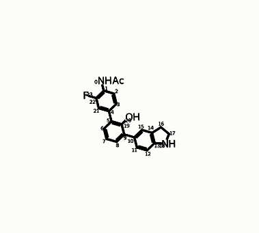 CC(=O)Nc1ccc(-c2cccc(-c3ccc4c(c3)CCN4)c2O)cc1F